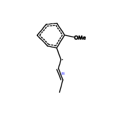 C/C=C/[CH]c1ccccc1OC